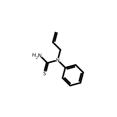 C=CCN(C(N)=S)c1ccccc1